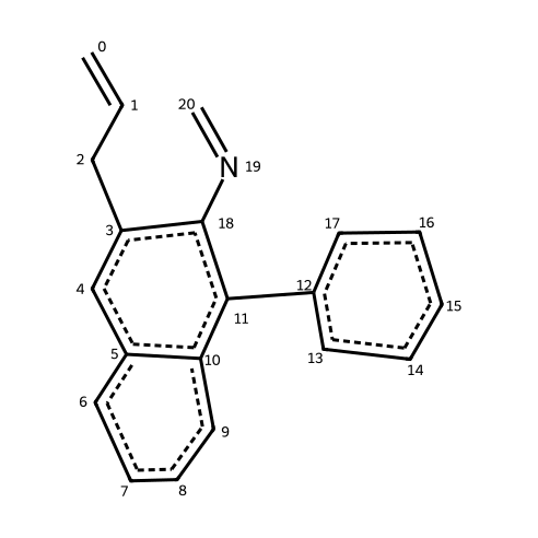 C=CCc1cc2ccccc2c(-c2ccccc2)c1N=C